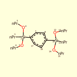 CCCO[Si](CCC)(OCCC)c1ccc([Si](CCC)(OCCC)OCCC)cc1